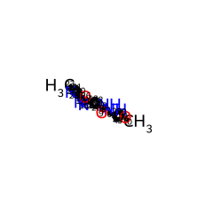 COc1ccc(CNC(=O)NC2CCC(c3nnc(-c4ccc(C)nc4)o3)CC2)cc1